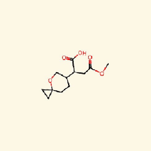 COC(=O)CC(C(=O)O)C1CCC2(CC2)OC1